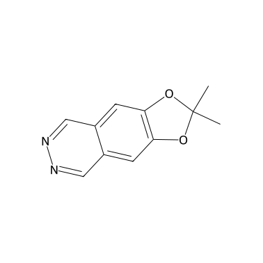 CC1(C)Oc2cc3cnncc3cc2O1